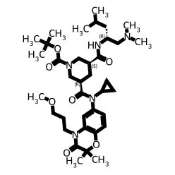 COCCCN1C(=O)C(C)(C)Oc2ccc(N(C(=O)[C@@H]3C[C@H](C(=O)N[C@H](CC(C)C)CN(C)C)CN(C(=O)OC(C)(C)C)C3)C3CC3)cc21